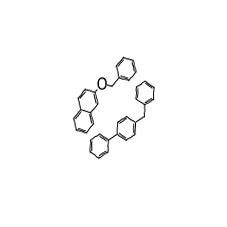 c1ccc(COc2ccc3ccccc3c2)cc1.c1ccc(Cc2ccc(-c3ccccc3)cc2)cc1